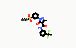 CC(=O)NS(=O)(=O)c1cccc(N2N=C(C)C(C(=O)Nc3cccc(C(C)(F)F)c3)C2=O)c1